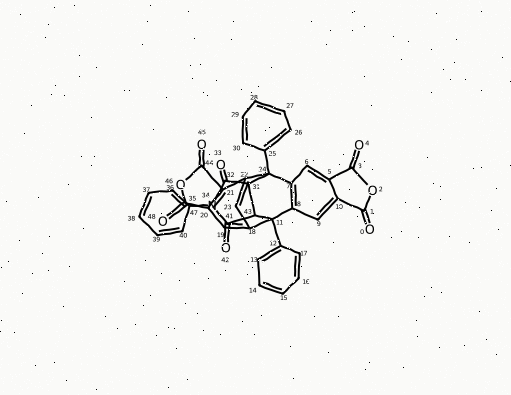 O=C1OC(=O)c2cc3c(cc21)C1(c2ccccc2)c2cc4c(c(c2)C3(c2ccccc2)C2C(=O)N(c3ccccc3)C(=O)C21)C(=O)OC4=O